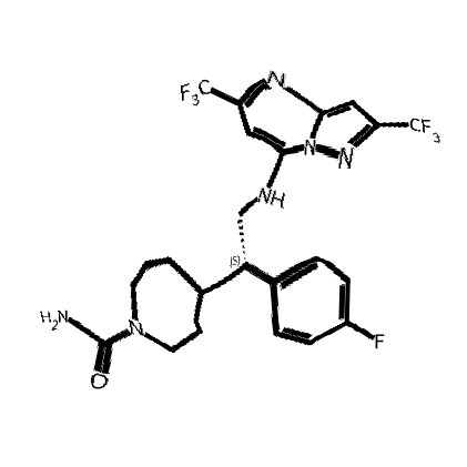 NC(=O)N1CCC([C@H](CNc2cc(C(F)(F)F)nc3cc(C(F)(F)F)nn23)c2ccc(F)cc2)CC1